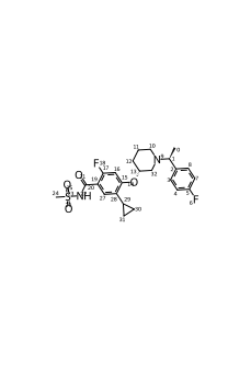 C[C@@H](c1ccc(F)cc1)N1CCC[C@@H](Oc2cc(F)c(C(=O)NS(C)(=O)=O)cc2C2CC2)C1